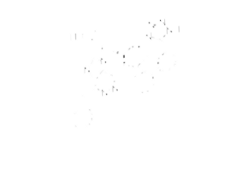 CC(C)(C)Cc1nc2c(Oc3ccccc3)nnc(Oc3ccccc3)c2n1Cc1ccc(-c2ccccc2-c2nnn[nH]2)cc1